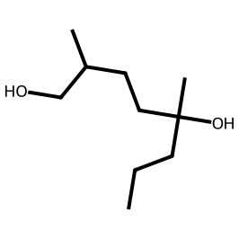 CCCC(C)(O)CCC(C)CO